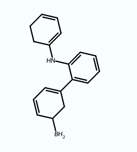 BC1C=CC=C(c2ccccc2NC2=CC=CCC2)C1